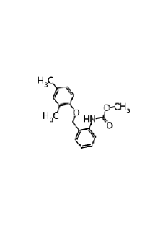 COC(=O)Nc1ccccc1COc1ccc(C)cc1C